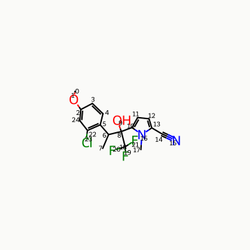 COc1ccc(C(C)C(O)(c2ccc(C#N)n2C)C(F)(F)F)c(Cl)c1